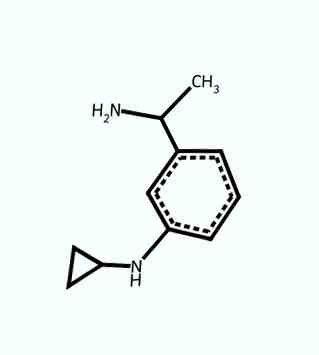 CC(N)c1cccc(NC2CC2)c1